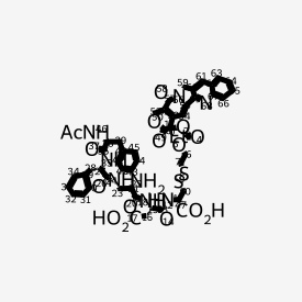 CC[C@@]1(OC(=O)OCCSSC[C@H](NC(=O)[C@H](CC(=O)O)NC(=O)[C@@H](N)CNC(=O)[C@H](Cc2ccccc2)NC(=O)C(Cc2ccccc2)NC(C)=O)C(=O)O)C(=O)OCc2c1cc1n(c2=O)Cc2cc3ccccc3nc2-1